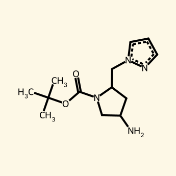 CC(C)(C)OC(=O)N1CC(N)CC1Cn1cccn1